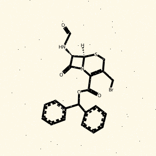 O=CN[C@@H]1C(=O)N2C(C(=O)OC(c3ccccc3)c3ccccc3)=C(CBr)CS[C@H]12